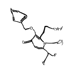 Cn1c(C(F)F)cc(=O)c(OCc2ccccc2)c1CO